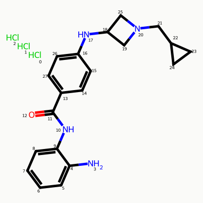 Cl.Cl.Cl.Nc1ccccc1NC(=O)c1ccc(NC2CN(CC3CC3)C2)cc1